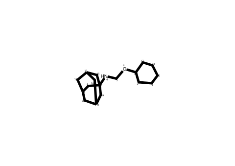 C1CCC(OCNC23CC4CC(CC(C4)C2)C3)CC1